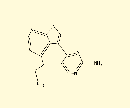 CCCc1ccnc2[nH]cc(-c3ccnc(N)n3)c12